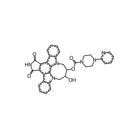 O=C1NC(=O)c2c1c1c3ccccc3n3c1c1c2c2ccccc2n1CC(OC(=O)N1CCN(c2ccccn2)CC1)C(O)C3